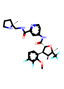 COc1c([C@H]2[C@H](C(=O)Nc3ccnc(C(=O)NC[C@]4(C)CCCN4)c3)O[C@@](C)(C(F)(F)F)[C@H]2C)ccc(F)c1F